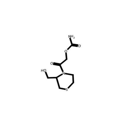 NC(=O)OCC(=O)N1CCSCC1CO